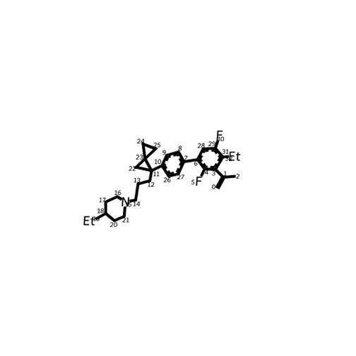 C=C(C)c1c(F)c(-c2ccc(C3(CCCN4CCC(CC)CC4)CC34CC4)cc2)cc(F)c1CC